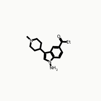 CCC(=O)c1ccc2c(c1)c(C1CCN(C)CC1)cn2N